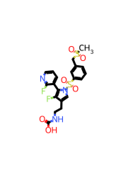 CS(=O)(=O)Cc1cccc(S(=O)(=O)n2cc(CCNC(=O)O)c(F)c2-c2cccnc2F)c1